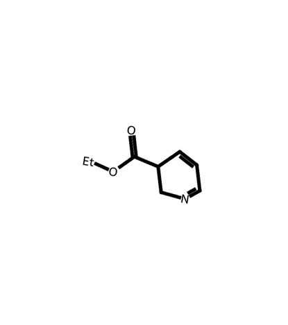 CCOC(=O)C1C=CC=NC1